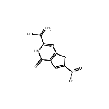 C=C(O)c1nc2sc([N+](=O)[O-])cc2c(=O)[nH]1